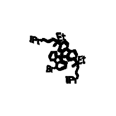 CCC(C)(CCCC(C)C)C1=CC2C(C=C1)c1ccc(C(C)(CC)CCCC(C)C)cc1C21c2ccccc2-c2c(Br)cccc21